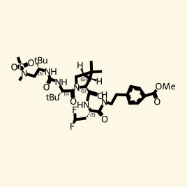 COC(=O)c1ccc(CCNC(=O)[C@H](CC(F)F)NC(=O)[C@@H]2[C@@H]3[C@H](CN2C(=O)[C@@H](NC(=O)N[C@H](CN(C)S(C)(=O)=O)C(C)(C)C)C(C)(C)C)C3(C)C)cc1